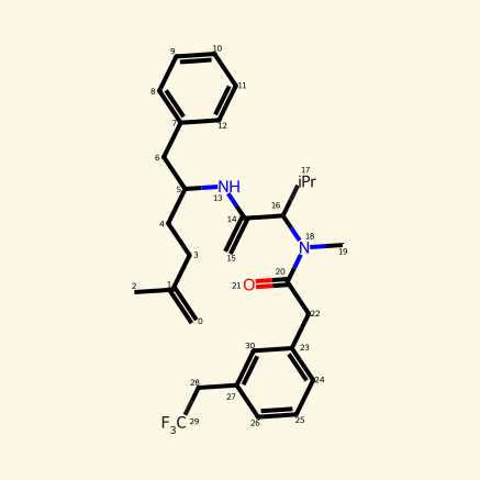 C=C(C)CCC(Cc1ccccc1)NC(=C)C(C(C)C)N(C)C(=O)Cc1cccc(CC(F)(F)F)c1